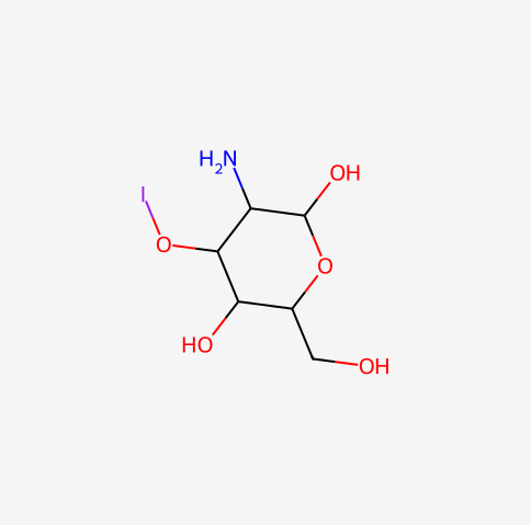 NC1C(O)OC(CO)C(O)C1OI